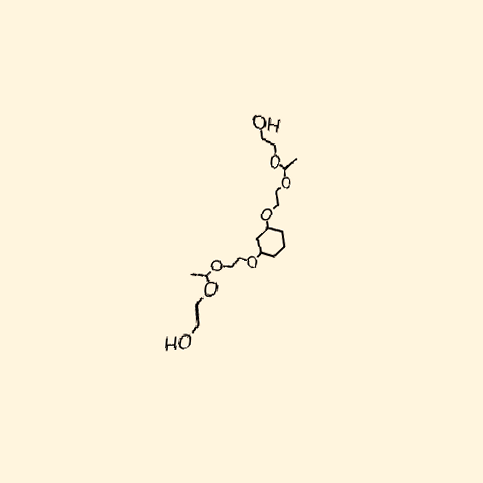 CC(OCCO)OCCOC1CCCC(OCCOC(C)OCCO)C1